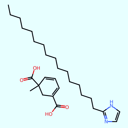 CC1(C(=O)O)C=CC=C(C(=O)O)C1.CCCCCCCCCCCCCCCCc1ncc[nH]1